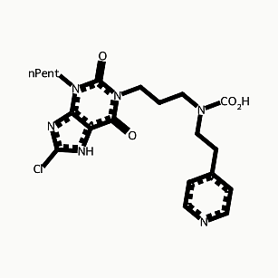 CCCCCn1c(=O)n(CCCN(CCc2ccncc2)C(=O)O)c(=O)c2[nH]c(Cl)nc21